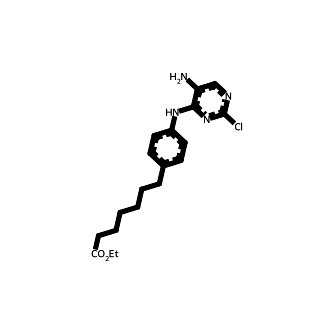 CCOC(=O)CCCCCCc1ccc(Nc2nc(Cl)ncc2N)cc1